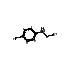 Fc1ccc([SiH2]CI)cc1